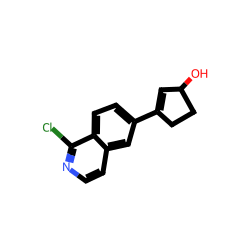 OC1C=C(c2ccc3c(Cl)nccc3c2)CC1